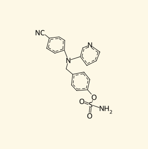 N#Cc1ccc(N(Cc2ccc(OS(N)(=O)=O)cc2)c2cccnc2)cc1